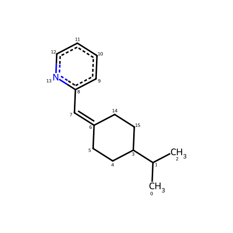 CC(C)C1CCC(=Cc2ccccn2)CC1